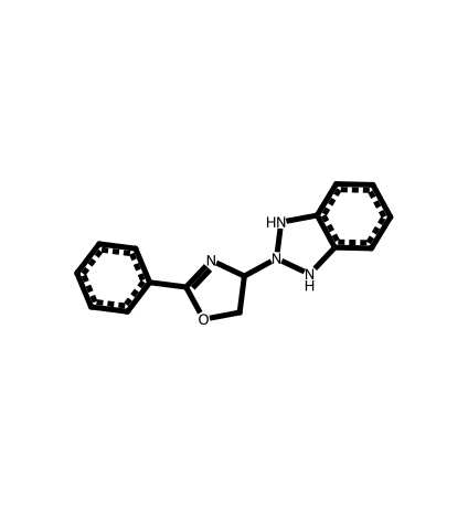 c1ccc(C2=NC(N3Nc4ccccc4N3)CO2)cc1